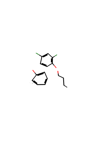 O=C(O)CCCOc1ccc(Cl)cc1Cl.Oc1ccccc1.[NaH]